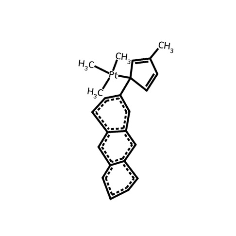 CC1=C[C](c2ccc3cc4ccccc4cc3c2)([Pt]([CH3])([CH3])[CH3])C=C1